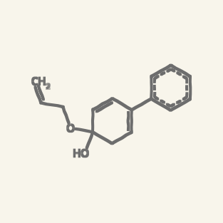 C=CCOC1(O)C=CC(c2ccccc2)=CC1